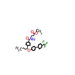 CCCC(Oc1ccc(-c2ccc(C(F)(F)F)cc2)cc1)c1ccc(C(=O)NCCC(=O)OC)cc1